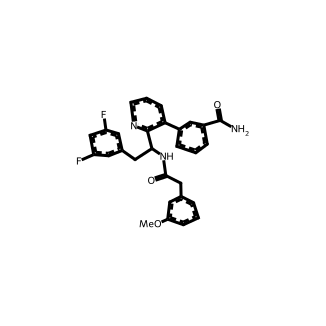 COc1cccc(CC(=O)NC(Cc2cc(F)cc(F)c2)c2ncccc2-c2cccc(C(N)=O)c2)c1